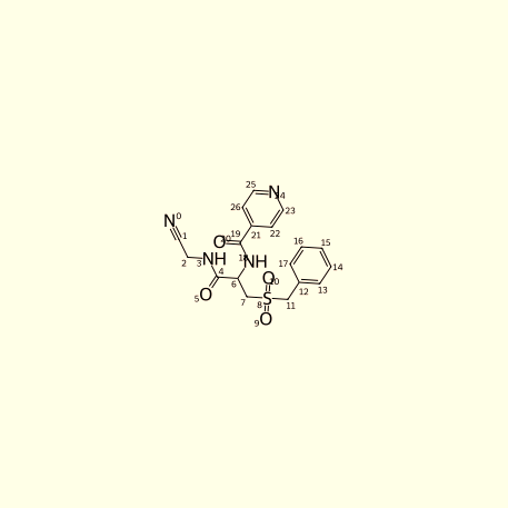 N#CCNC(=O)C(CS(=O)(=O)Cc1ccccc1)NC(=O)c1ccncc1